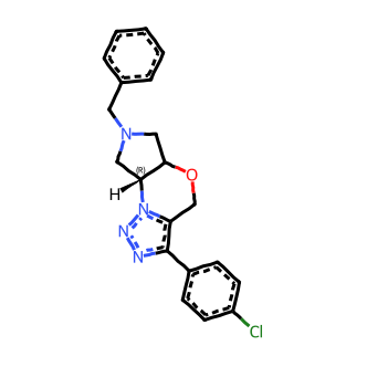 Clc1ccc(-c2nnn3c2COC2CN(Cc4ccccc4)C[C@H]23)cc1